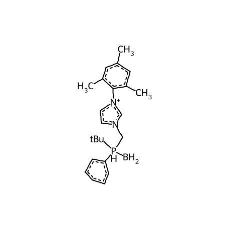 B[PH](Cn1cc[n+](-c2c(C)cc(C)cc2C)c1)(c1ccccc1)C(C)(C)C